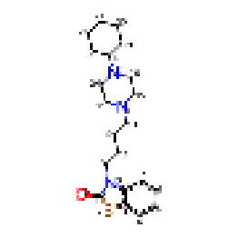 O=c1sc2ccccc2n1CCCCN1CCN(C2CCCCC2)CC1